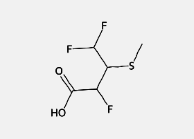 CSC(C(F)F)C(F)C(=O)O